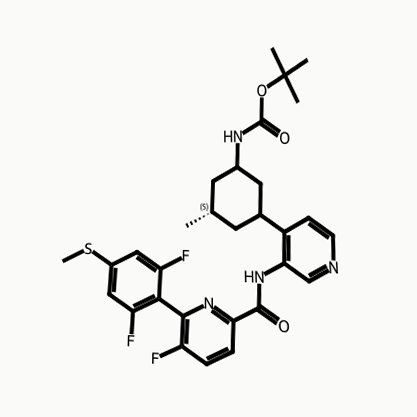 CSc1cc(F)c(-c2nc(C(=O)Nc3cnccc3C3CC(NC(=O)OC(C)(C)C)C[C@@H](C)C3)ccc2F)c(F)c1